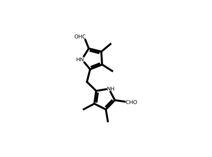 Cc1c(C=O)[nH]c(Cc2[nH]c(C=O)c(C)c2C)c1C